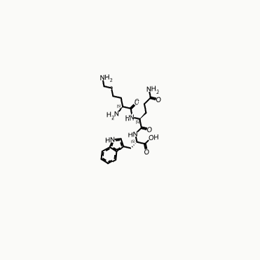 NCCCC[C@H](N)C(=O)N[C@@H](CCC(N)=O)C(=O)N[C@@H](Cc1c[nH]c2ccccc12)C(=O)O